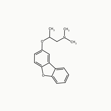 CC(CN(C)C)Oc1ccc2oc3ccccc3c2c1